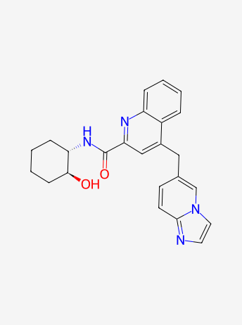 O=C(N[C@H]1CCCC[C@@H]1O)c1cc(Cc2ccc3nccn3c2)c2ccccc2n1